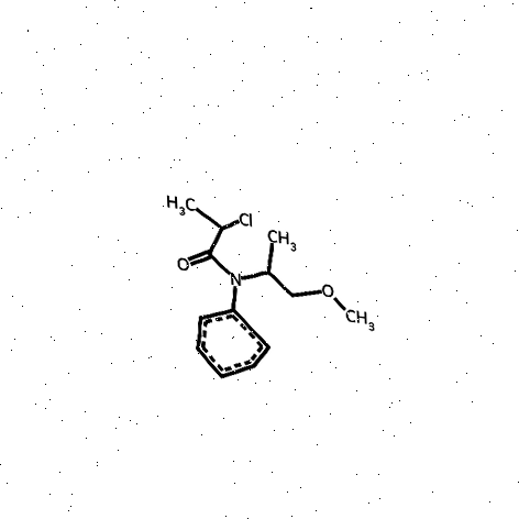 COCC(C)N(C(=O)C(C)Cl)c1ccccc1